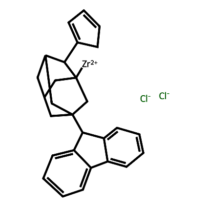 [Cl-].[Cl-].[Zr+2][C]12CC3CC(CC(C4c5ccccc5-c5ccccc54)(C3)C1)C2C1=CC=CC1